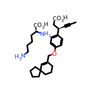 CC#C[C@H](CC(=O)O)c1ccc(OCC2=CC3(CCCC3)CCC2)cc1.NCCCC[C@H](N)C(=O)O